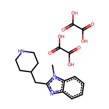 Cn1c(CC2CCNCC2)nc2ccccc21.O=C(O)C(=O)O.O=C(O)C(=O)O